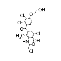 Cc1c(C(=O)c2ccc(OCCO)c(Cl)c2Cl)cc(Cl)c(O)c1NC(=O)CCl